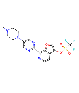 CN1CCN(c2cnc(-c3nccc4c(OS(=O)(=O)C(F)(F)F)coc34)nc2)CC1